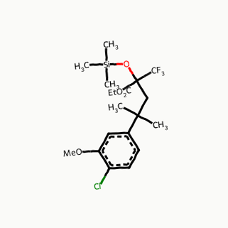 CCOC(=O)C(CC(C)(C)c1ccc(Cl)c(OC)c1)(O[Si](C)(C)C)C(F)(F)F